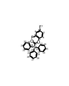 O=C(Oc1ccc(F)cc1F)S(c1ccccc1)(c1ccccc1)c1ccccc1